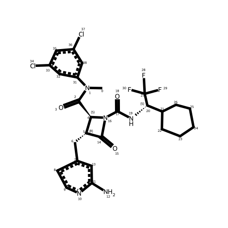 CN(C(=O)[C@@H]1[C@@H](Cc2ccnc(N)c2)C(=O)N1C(=O)N[C@@H](C1CCCCC1)C(F)(F)F)c1cc(Cl)cc(Cl)c1